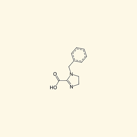 O=C(O)C1=NCCN1Cc1ccccc1